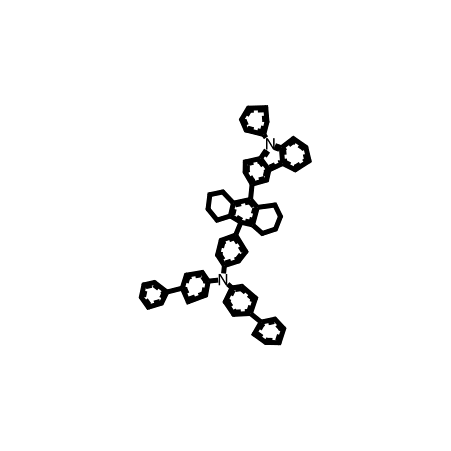 c1ccc(-c2ccc(N(c3ccc(-c4ccccc4)cc3)c3ccc(-c4c5c(c(-c6ccc7c(c6)c6ccccc6n7-c6ccccc6)c6c4CCCC6)CCCC5)cc3)cc2)cc1